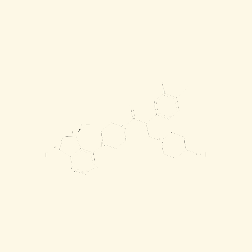 C[C@@H]1C[C@@H](F)c2ncnc(N3CCN(C(=O)C(CN4CCC(O)CC4)c4ccc(Cl)c(Cl)c4)CC3)c21